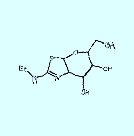 CCNC1=NC2C(OC(CO)C(O)C2O)S1